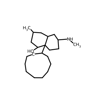 CNC1CCC2(C3CCCCCCCCC3)C(O)CC(C)CC2C1